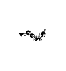 O=C(NCc1ncc(F)cc1F)c1cnc(N2CCC(N3CCCC(OCC4CC4)C3)CC2)s1